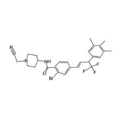 Cc1cc(C(/C=C/c2ccc(C(=O)NC3CCN(CC#N)CC3)c(Br)c2)C(F)(F)F)cc(C)c1C